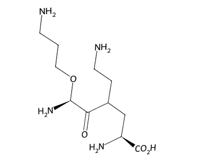 NCCCO[C@H](N)C(=O)C(CCN)C[C@H](N)C(=O)O